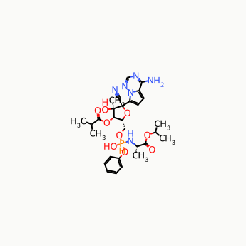 CC(C)OC(=O)[C@H](C)N[PH](O)(OC[C@H]1O[C@@](C#N)(c2ccc3c(N)ncnn23)[C@](C)(O)[C@@H]1OC(=O)C(C)C)Oc1ccccc1